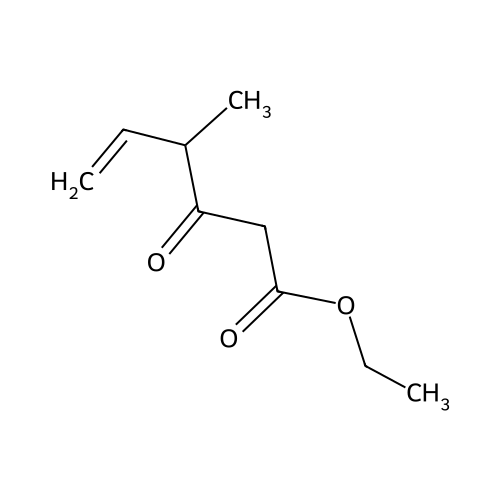 C=CC(C)C(=O)CC(=O)OCC